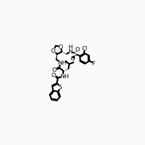 CC(C)C[C@H](NC(=O)c1cc2ccccc2s1)C(=O)NC[C@H]1OCO[C@@H]1CNS(=O)(=O)c1ccc(F)cc1Cl